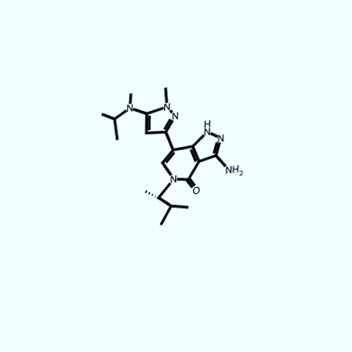 CC(C)[C@H](C)n1cc(-c2cc(N(C)C(C)C)n(C)n2)c2[nH]nc(N)c2c1=O